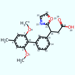 COc1cc(C)cc(OC)c1-c1cccc(C(CC(=O)O)c2ncco2)c1